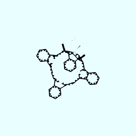 O=C1c2c3nc(c(c4[nH]c(cc5nc(cc6[nH]c2c2ccccc62)-c2ccccc2-5)c2ccccc42)C(=O)[C@H](O)[C@@H]1O)-c1ccccc1-3